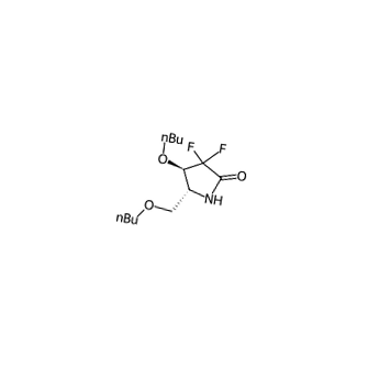 CCCCOC[C@H]1NC(=O)C(F)(F)[C@@H]1OCCCC